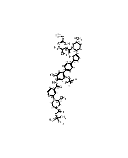 COC(=O)N[C@H](C(=O)N1C[C@@H](C)CC[C@H]1c1ncc(-c2ccc(-c3cc(Cl)c(NC(=O)c4ccnc(N5CCN(C(=O)OC(C)(C)C)C[C@H]5C)c4)cc3OC(F)(F)F)cc2)[nH]1)C(C)C